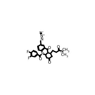 CN(C)C(=O)CCC1CC(=O)CC2C1C(=O)c1cc(CN=[N+]=[N-])ccc1N2C(=O)c1ccc(F)c(F)c1